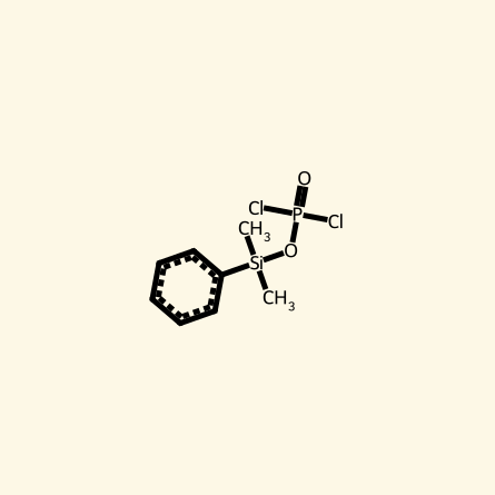 C[Si](C)(OP(=O)(Cl)Cl)c1ccccc1